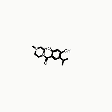 CC(C)c1cc(C(=O)N2CCN(C)CC2)c(O)cc1O